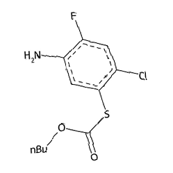 CCCCOC(=O)Sc1cc(N)c(F)cc1Cl